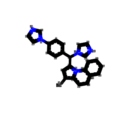 N#Cc1cc(C(c2ccc(-n3ccnc3)cc2)n2ccnc2)n2c1ccc1ccccc12